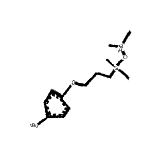 C[SiH](C)O[Si](C)(C)CCCOc1ccc(C(C)(C)C)cc1